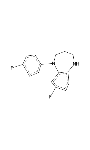 Fc1ccc(N2CCCNc3ccc(F)cc32)cc1